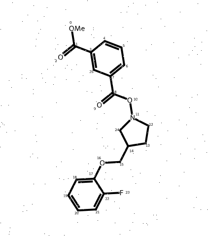 COC(=O)c1cccc(C(=O)ON2CCC(COc3ccccc3F)C2)c1